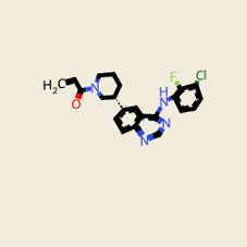 C=CC(=O)N1CCC[C@H](c2ccc3ncnc(Nc4cccc(Cl)c4F)c3c2)C1